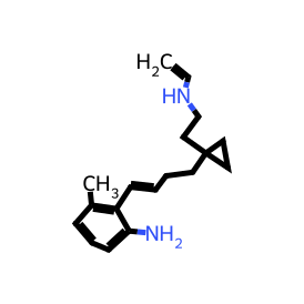 C=CNCCC1(CC/C=C/c2c(C)cccc2N)CC1